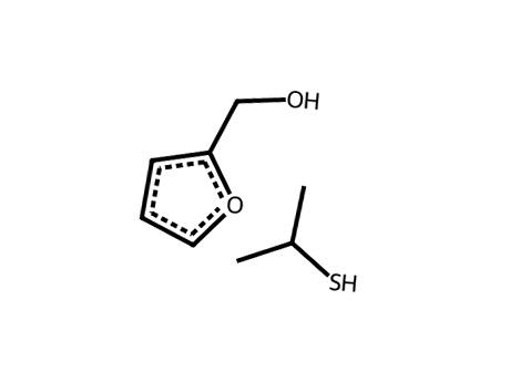 CC(C)S.OCc1ccco1